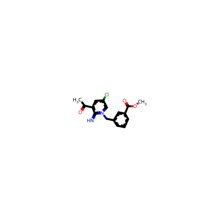 COC(=O)c1cccc(Cn2cc(Cl)cc(C(C)=O)c2=N)c1